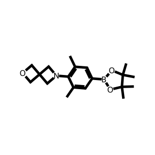 Cc1cc(B2OC(C)(C)C(C)(C)O2)cc(C)c1N1CC2(COC2)C1